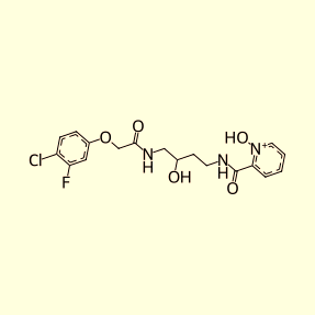 O=C(COc1ccc(Cl)c(F)c1)NCC(O)CCNC(=O)c1cccc[n+]1O